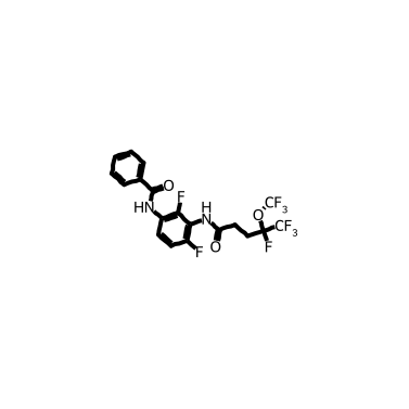 O=C(CCC(F)(OC(F)(F)F)C(F)(F)F)Nc1c(F)ccc(NC(=O)c2ccccc2)c1F